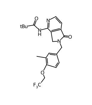 Cc1cc(CN2Cc3c(ccnc3NC(=O)C(C)(C)C)C2=O)ccc1OCC(F)(F)F